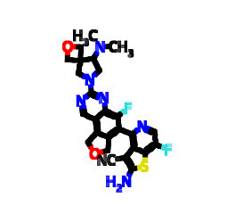 CN(C)C1CN(c2ncc3c4c(c(-c5ncc(F)c6sc(N)c(C#N)c56)c(F)c3n2)COC4)CC12COC2